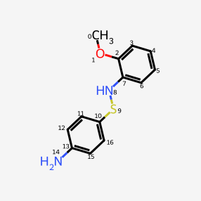 COc1ccccc1NSc1ccc(N)cc1